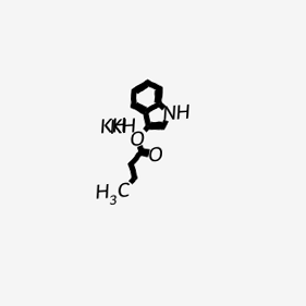 CCCC(=O)Oc1c[nH]c2ccccc12.[KH].[KH]